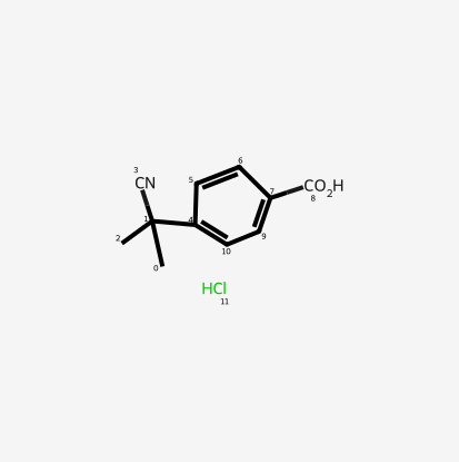 CC(C)(C#N)c1ccc(C(=O)O)cc1.Cl